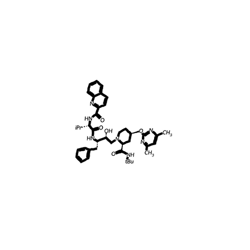 Cc1cc(C)nc(O[C@@H]2CCN(C[C@@H](O)[C@H](Cc3ccccc3)NC(=O)[C@@H](NC(=O)c3ccc4ccccc4n3)C(C)C)[C@H](C(=O)NC(C)(C)C)C2)n1